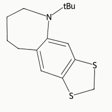 CC(C)(C)N1CCCCc2cc3c(cc21)SCS3